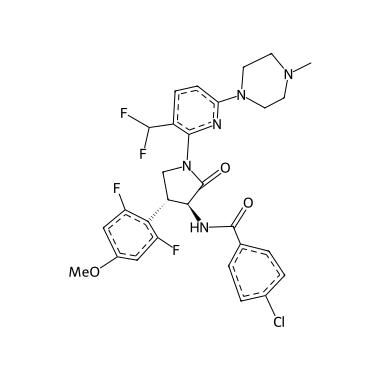 COc1cc(F)c([C@@H]2CN(c3nc(N4CCN(C)CC4)ccc3C(F)F)C(=O)[C@H]2NC(=O)c2ccc(Cl)cc2)c(F)c1